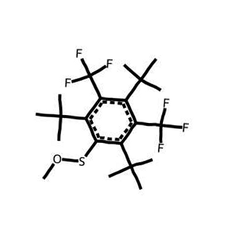 COSc1c(C(C)(C)C)c(C(F)(F)F)c(C(C)(C)C)c(C(F)(F)F)c1C(C)(C)C